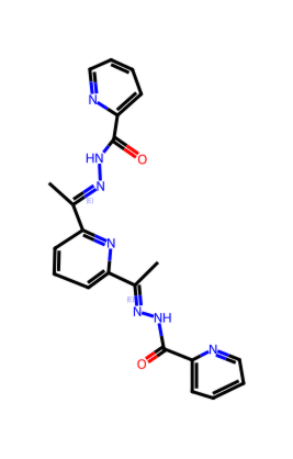 C/C(=N\NC(=O)c1ccccn1)c1cccc(/C(C)=N/NC(=O)c2ccccn2)n1